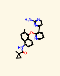 Cc1ccc2c(NC(=O)C3(C)CC3)cccc2c1Oc1ncccc1-c1ccnc(N)n1